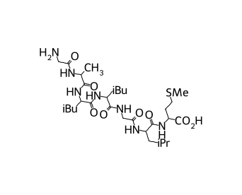 CCC(C)C(NC(=O)C(C)NC(=O)CN)C(=O)NC(C(=O)NCC(=O)NC(CC(C)C)C(=O)NC(CCSC)C(=O)O)C(C)CC